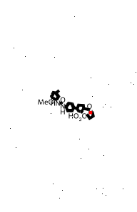 COc1ccc(C)cc1NC(=O)Nc1ccc(C2CCC(C(=O)N3CCC[C@H]3C(=O)O)CC2)cc1